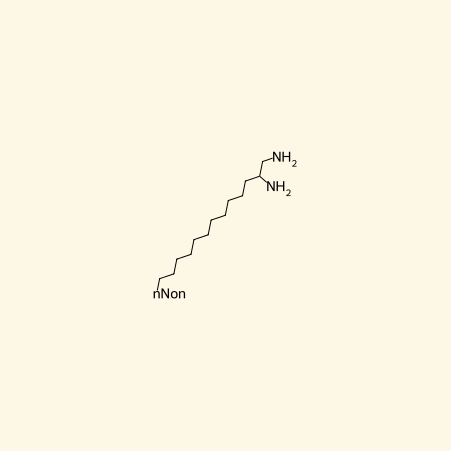 CCCCCCCCCCCCCCCCCCCCC(N)CN